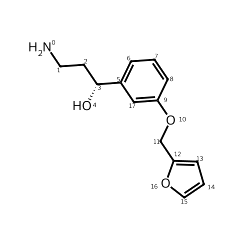 NCC[C@@H](O)c1cccc(OCc2ccco2)c1